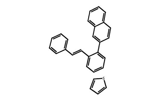 C(=Cc1ccccc1-c1ccc2ccccc2c1)c1ccccc1.c1ccsc1